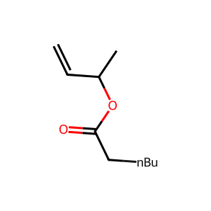 C=CC(C)OC(=O)CCCCC